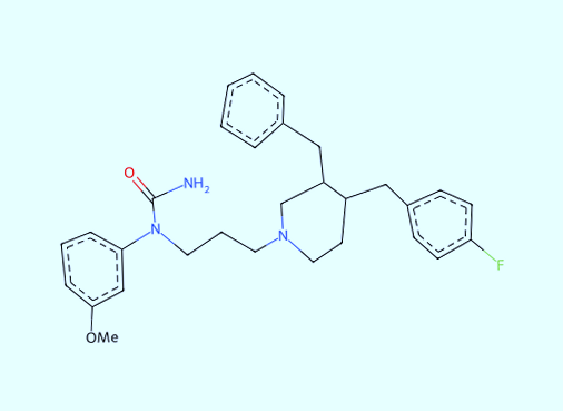 COc1cccc(N(CCCN2CCC(Cc3ccc(F)cc3)C(Cc3ccccc3)C2)C(N)=O)c1